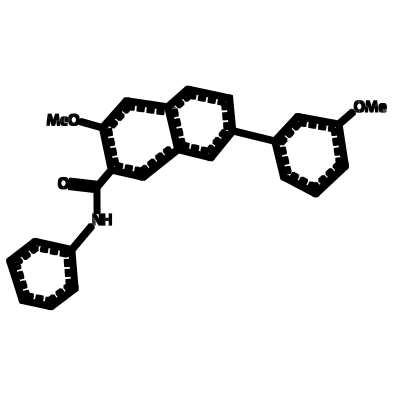 COc1cccc(-c2ccc3cc(OC)c(C(=O)Nc4ccccc4)cc3c2)c1